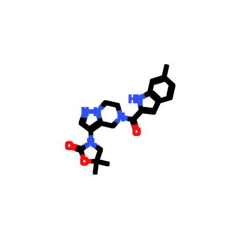 Cc1ccc2cc(C(=O)N3CCn4ncc(N5CC(C)(C)OC5=O)c4C3)[nH]c2c1